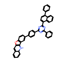 C1=CC2=Cc3oc4ccc(-c5ccc(-c6nc(-c7ccccc7)nc(-c7ccc(-c8ccccc8)c8ccccc78)n6)cc5)cc4c3NC2C=C1